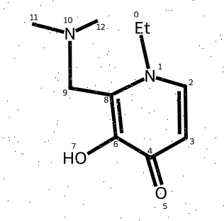 CCn1ccc(=O)c(O)c1CN(C)C